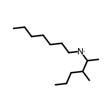 CCCCCCC[N]C(C)C(C)CCC